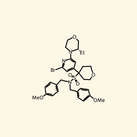 CC[C@H]1COCCN1c1cc(C2(S(=O)(=O)N(Cc3ccc(OC)cc3)Cc3ccc(OC)cc3)CCOCC2)cc(Br)n1